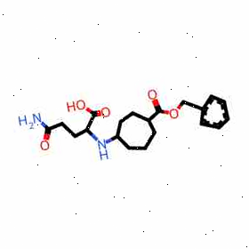 NC(=O)CCC(NC1CCCC(C(=O)OCc2ccccc2)CC1)C(=O)O